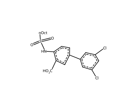 CCCCCCCCS(=O)(=O)Nc1ccc(-c2cc(Cl)cc(Cl)c2)cc1C(=O)O